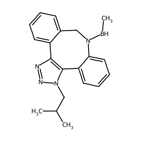 CBN1Cc2ccccc2-c2nnn(CC(C)C)c2-c2ccccc21